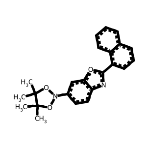 CC1(C)ON(c2ccc3nc(-c4cccc5ccccc45)oc3c2)OC1(C)C